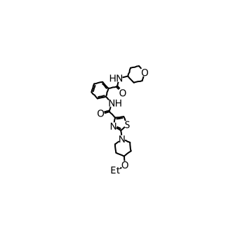 CCOC1CCN(c2nc(C(=O)Nc3ccccc3C(=O)NC3CCOCC3)cs2)CC1